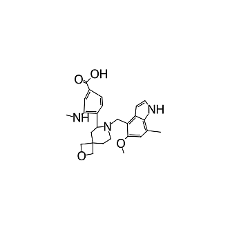 CNc1cc(C(=O)O)ccc1C1CC2(CCN1Cc1c(OC)cc(C)c3[nH]ccc13)COC2